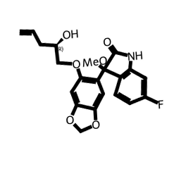 C=CC[C@@H](O)COc1cc2c(cc1C1(OC)C(=O)Nc3cc(F)ccc31)OCO2